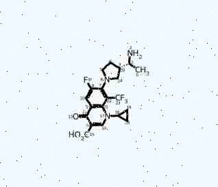 CC(N)[C@H]1CCN(c2c(F)cc3c(=O)c(C(=O)O)cn(C4CC4)c3c2C(F)(F)F)C1